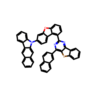 c1ccc2cc(-c3nc(-c4cccc5oc6cc(-n7c8ccccc8c8cc9ccccc9cc87)ccc6c45)nc4c3sc3ccccc34)ccc2c1